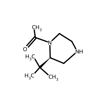 CC(=O)N1CCNC[C@H]1C(C)(C)C